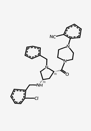 N#Cc1ccccc1N1CCN(C(=O)[C@@H]2C[C@H](NCc3ccccc3Cl)CN2Cc2ccccc2)CC1